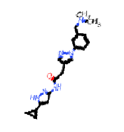 CN(C)Cc1cccc(-n2cc(CC(=O)Nc3cc(C4CC4)[nH]n3)cn2)c1